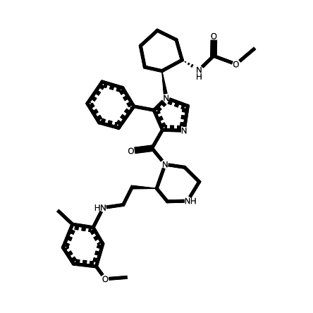 COC(=O)N[C@H]1CCCC[C@@H]1n1cnc(C(=O)N2CCNC[C@H]2CCNc2cc(OC)ccc2C)c1-c1ccccc1